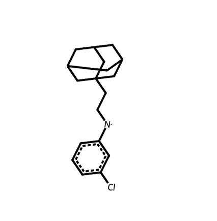 Clc1cccc([N]CCC23CC4CC(CC(C4)C2)C3)c1